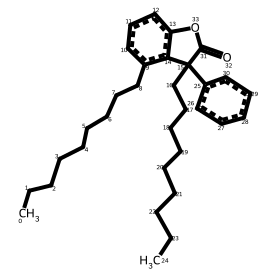 CCCCCCCCCc1cccc2c1C(CCCCCCCCC)(c1ccccc1)C(=O)O2